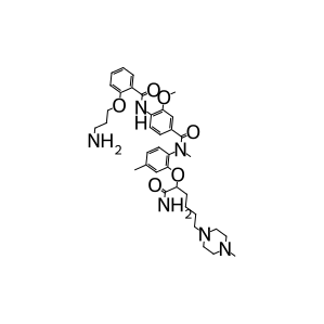 COc1cc(C(=O)N(C)c2ccc(C)cc2OC(CCCCN2CCN(C)CC2)C(N)=O)ccc1NC(=O)c1ccccc1OCCCN